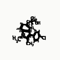 Cc1c(-c2ccc(Cl)cc2)c2cc(OC(C)(C)CO)ccc2n1C